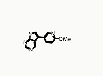 COc1ccc(-c2csc3ncncc23)cn1